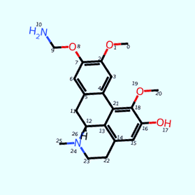 COc1cc2c(cc1OCN)C[C@@H]1c3c(cc(O)c(OC)c3-2)CCN1C